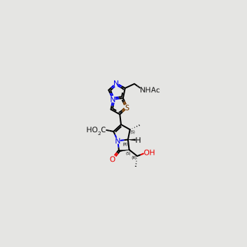 CC(=O)NCc1ncn2cc(C3=C(C(=O)O)N4C(=O)[C@H]([C@@H](C)O)[C@H]4[C@H]3C)sc12